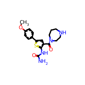 COc1ccc(-c2cc(C(=O)N3CCCNCC3)c(NC(N)=O)s2)cc1